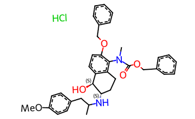 COc1ccc(CC(C)N[C@H]2CCc3c(ccc(OCc4ccccc4)c3N(C)C(=O)OCc3ccccc3)[C@@H]2O)cc1.Cl